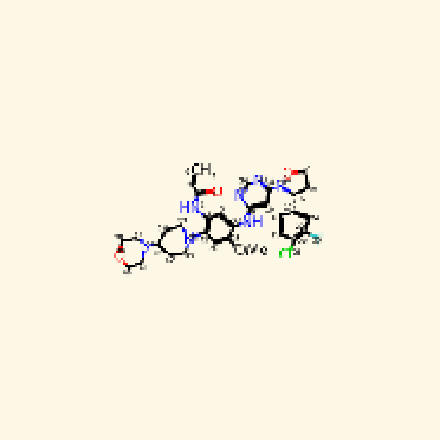 C=CC(=O)Nc1cc(Nc2cc(N3OCC[C@@H]3c3ccc(Cl)c(F)c3)ncn2)c(OC)cc1N1CCC(N2CCOCC2)CC1